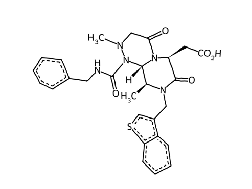 C[C@H]1[C@H]2N(C(=O)CN(C)N2C(=O)NCc2ccccc2)[C@@H](CC(=O)O)C(=O)N1Cc1csc2ccccc12